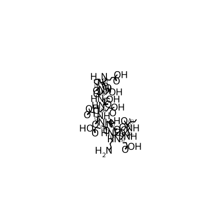 CC[C@H](C)[C@H](NC(=O)[C@H](C)NC(=O)[C@H](CCC(=O)O)NC(=O)[C@H](CCCCN)NC(=O)[C@@H]1CCCN1C(=O)[C@H](CCC(=O)O)NC(=O)[C@H](CCC(=O)O)NC(=O)[C@H](CCC(=O)O)NC(=O)[C@H](CO)NC(=O)[C@H](CC(=O)O)NC(=O)[C@@H]1CCCN1C(=O)[C@@H](N)CCC(=O)O)C(=O)O